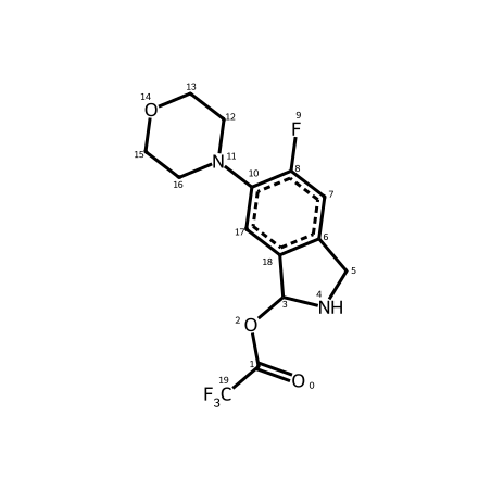 O=C(OC1NCc2cc(F)c(N3CCOCC3)cc21)C(F)(F)F